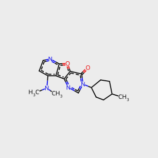 CC1CCC(n2cnc3c(oc4nccc(N(C)C)c43)c2=O)CC1